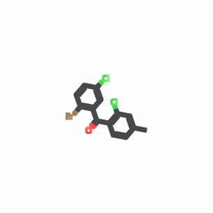 Cc1ccc(C(=O)c2cc(Cl)ccc2Br)c(Cl)c1